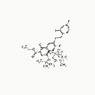 CCOC(=O)c1cn([C@H](C(O[SiH](C)C)C(C)(C)C)C(C)(C)C)c2cc(F)c(CCc3ccc(F)cc3F)cc2c1=O